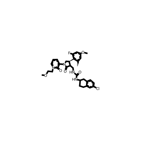 COCCn1cccc(N2C[C@@H](c3c(F)cc(OC)cc3F)C(CNC(=O)NC3CCc4cc(Cl)ccc4C3)C2=O)c1=O